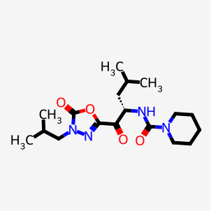 CC(C)C[C@H](NC(=O)N1CCCCC1)C(=O)c1nn(CC(C)C)c(=O)o1